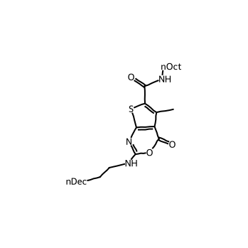 CCCCCCCCCCCCNc1nc2sc(C(=O)NCCCCCCCC)c(C)c2c(=O)o1